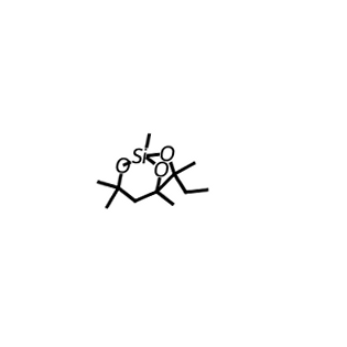 CCC1(C)O[Si]2(C)OC(C)(C)CC1(C)O2